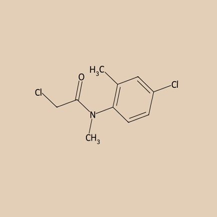 Cc1cc(Cl)ccc1N(C)C(=O)CCl